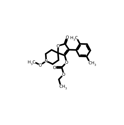 CCOC(=O)OC1=C(c2cc(C)ccc2C)C(=O)OC12CCN(OC)CC2